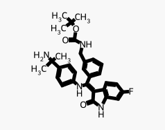 CC(C)(C)OC(=O)NCc1cccc(/C(Nc2ccc(C(C)(C)N)cc2)=C2/C(=O)Nc3cc(F)ccc32)c1